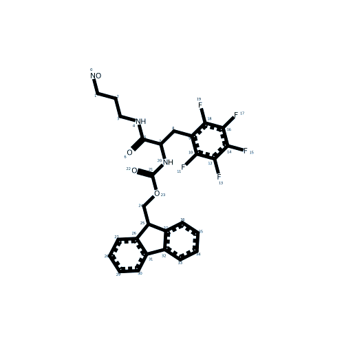 O=NCCCNC(=O)C(Cc1c(F)c(F)c(F)c(F)c1F)NC(=O)OCC1c2ccccc2-c2ccccc21